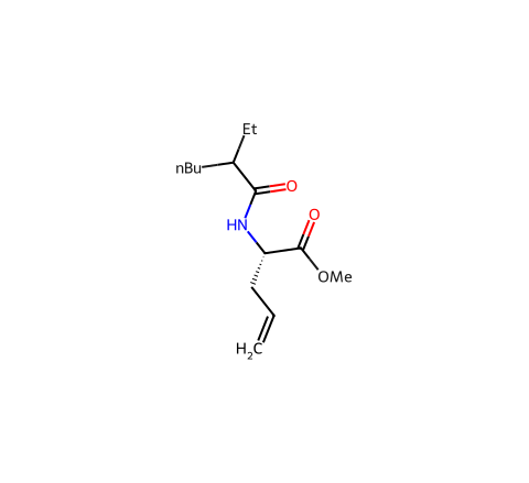 C=CC[C@H](NC(=O)C(CC)CCCC)C(=O)OC